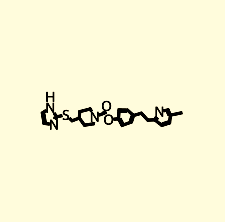 Cc1ccc(CCc2ccc(OC(=O)N3CCC(CSc4ncc[nH]4)CC3)cc2)nc1